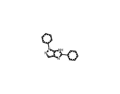 c1ccc(-c2nc3cnn(-c4ccccc4)c3[nH]2)cc1